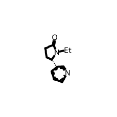 CCN1C(=O)CC[C@H]1c1cccnc1